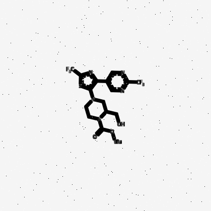 CC(C)(C)OC(=O)N1CCN(c2sc(C(F)(F)F)nc2-c2cnc(C(F)(F)F)nc2)CC1CO